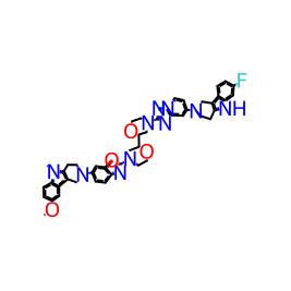 COc1ccc2c(c1)c1c(n2C)CCN(c2ccc3nc(N4CCOC(C5CN(c6nc7cc(N8CCc9[nH]c%10cc(F)ccc%10c9C8)ccn7n6)CCO5)C4)oc3c2)C1